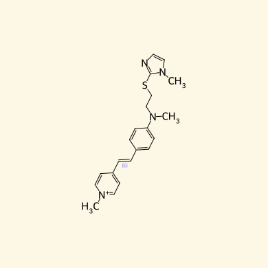 CN(CCSc1nccn1C)c1ccc(/C=C/c2cc[n+](C)cc2)cc1